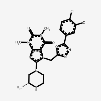 C[C@@H]1CN(c2nc3c(c(=O)n(C)c(=O)n3C)n2Cc2nnc(-c3ccc(Cl)c(Cl)c3)o2)CCN1